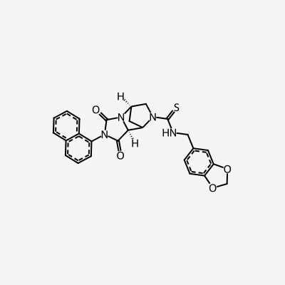 O=C1[C@@H]2C3C[C@H](CN3C(=S)NCc3ccc4c(c3)OCO4)N2C(=O)N1c1cccc2ccccc12